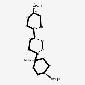 CCCCCCC[C@H]1CC[C@@](C#N)([C@H]2CC[C@@H]([C@H]3CC[C@H](CCCCC)CC3)CC2)CC1